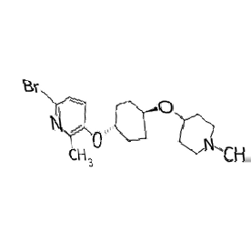 Cc1nc(Br)ccc1O[C@H]1CC[C@H](OC2CCN(C)CC2)CC1